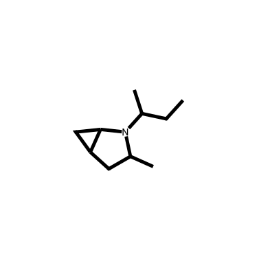 CCC(C)N1C(C)CC2CC21